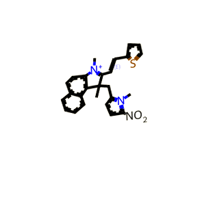 Cn1c(CC2(C)C(/C=C/c3cccs3)=[N+](C)c3ccc4ccccc4c32)ccc1[N+](=O)[O-]